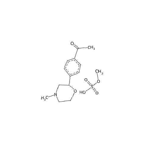 CC(=O)c1ccc(C2CN(C)CCO2)cc1.COS(=O)(=O)O